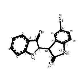 O=C1c2ccccc2NC1C1C(=O)Nc2ccc(Br)cc21